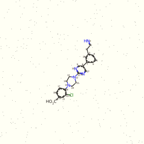 N=CCc1cccc(-c2cnc(N3CCN(c4ccc(C(=O)O)cc4Cl)CC3)nc2)c1